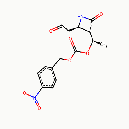 C[C@@H](OC(=O)OCc1ccc([N+](=O)[O-])cc1)[C@H]1C(=O)N[C@@H]1CC=O